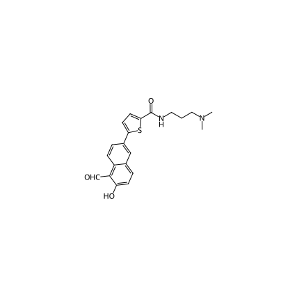 CN(C)CCCNC(=O)c1ccc(-c2ccc3c(C=O)c(O)ccc3c2)s1